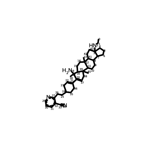 CCNC12CCCC1C1CCC3C(C)(CCC4C(C)(N)C(C5=CCC(CCc6ncccc6C#N)CC5)=CCC43C)C1CC2